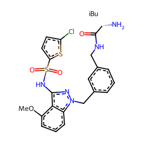 CC[C@H](C)[C@H](N)C(=O)NCc1cccc(Cn2nc(NS(=O)(=O)c3ccc(Cl)s3)c3c(OC)cccc32)c1